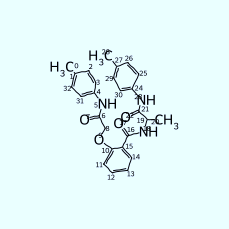 Cc1ccc(NC(=O)COc2ccccc2C(=O)NC(C)C(=O)Nc2ccc(C)cc2)cc1